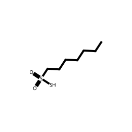 CCCCCCCS(=O)(=O)S